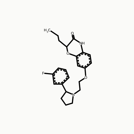 CCCC1Oc2cc(OCCN3CCCC3c3cccc(F)c3)ccc2NC1=O